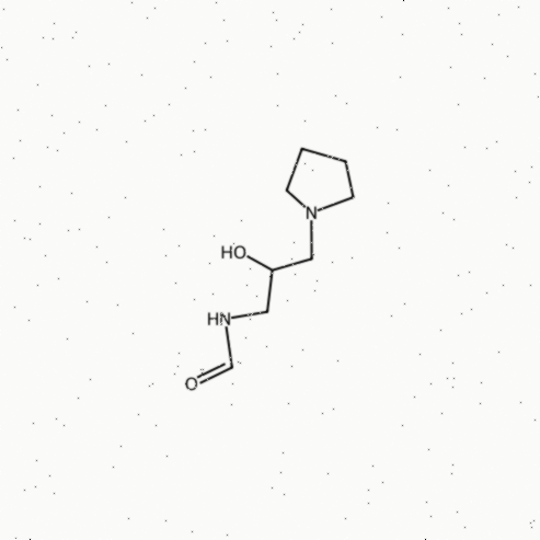 O=CNCC(O)CN1CCCC1